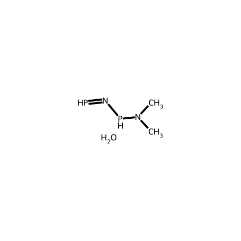 CN(C)PN=P.O